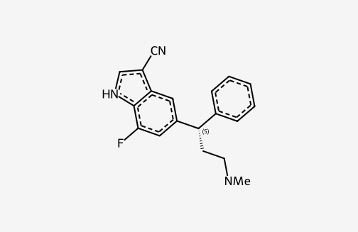 CNCC[C@@H](c1ccccc1)c1cc(F)c2[nH]cc(C#N)c2c1